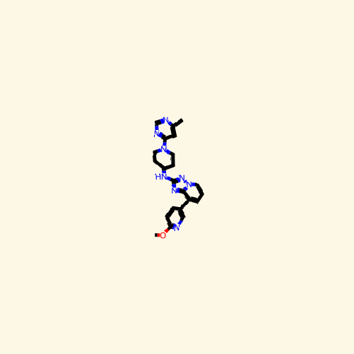 COc1ccc(-c2cccn3nc(NC4CCN(c5cc(C)ncn5)CC4)nc23)cn1